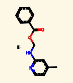 Cc1ccnc(NCOC(=O)c2ccccc2)c1.[K]